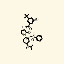 CC(C)N(C)[C@@H]1CC[C@H](N2CC[C@H](NC(=O)c3cc(Br)cc(C(C)(C)C)c3)C2=O)[C@H](CS(=O)(=O)c2ccccc2)C1